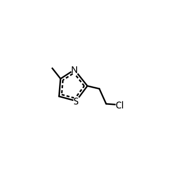 Cc1csc(CCCl)n1